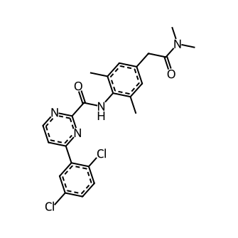 Cc1cc(CC(=O)N(C)C)cc(C)c1NC(=O)c1nccc(-c2cc(Cl)ccc2Cl)n1